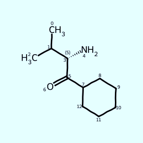 CC(C)[C@H](N)C(=O)C1CCCCC1